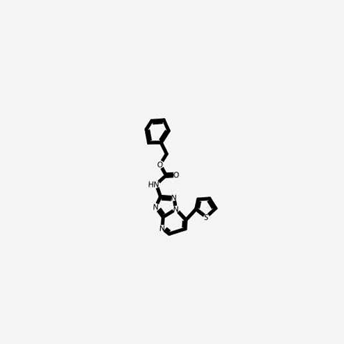 O=C(Nc1nc2nccc(-c3cccs3)n2n1)OCc1ccccc1